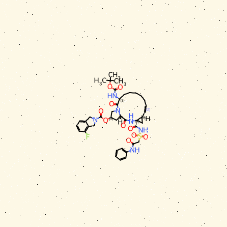 CC(C)(C)OC(=O)N[C@H]1CCCCC/C=C\[C@H]2C[C@@]2(C(=O)NS(=O)(=O)CC(=O)Nc2ccccc2)NC(=O)[C@@H]2C[C@@H](OC(=O)N3Cc4cccc(F)c4C3)CN2C1=O